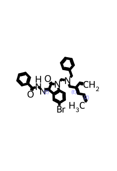 C=C/C(=C\C=C/C)CN(Cc1ccccc1)CN1C(=O)/C(=N\NC(=O)c2ccccc2)c2cc(Br)ccc21